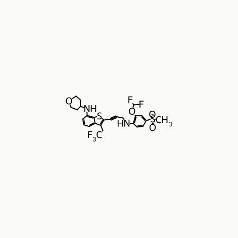 CS(=O)(=O)c1ccc(NCC#Cc2sc3c(NC4CCOCC4)cccc3c2CC(F)(F)F)c(OC(F)F)c1